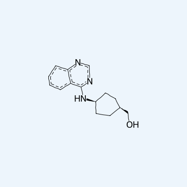 OC[C@H]1CC[C@@H](Nc2ncnc3ccccc23)CC1